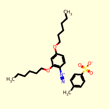 CCCCCCOc1ccc([N+]#N)c(OCCCCCC)c1.Cc1ccc(S(=O)(=O)[O-])cc1